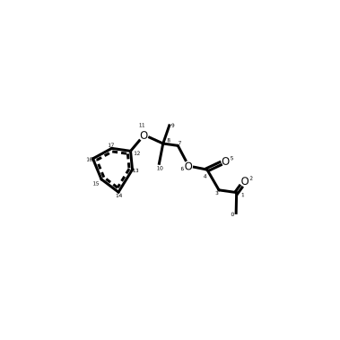 CC(=O)CC(=O)OCC(C)(C)Oc1ccccc1